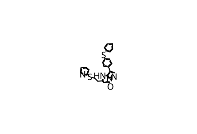 O=c1cc(CCSc2ccccn2)[nH]c2c(-c3ccc(Sc4ccccc4)cc3)cnn12